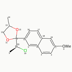 COc1ccc2cc(C3([C@H](C)Cl)OCC(C)O3)ccc2c1